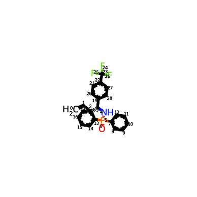 C=CC[C@@H](NP(=O)(c1ccccc1)c1ccccc1)c1ccc(C(F)(F)F)cc1